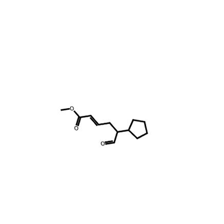 COC(=O)/C=C/CC(C=O)C1CCCC1